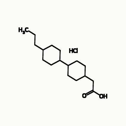 CCCC1CCC(C2CCC(CC(=O)O)CC2)CC1.Cl